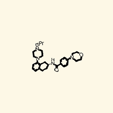 CCCN1CCN(c2cccc3c2C[C@H](NC(=O)c2ccc(N4CCOCC4)cc2)CC3)CC1